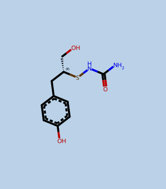 NC(=O)NS[C@@H](CO)Cc1ccc(O)cc1